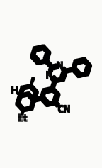 CC[C@H]1C[C@H]2C[C@@H](C)CC(c3cc(C#N)cc(-c4cc(-c5ccccc5)nc(-c5ccccc5)n4)c3)(C2)C1